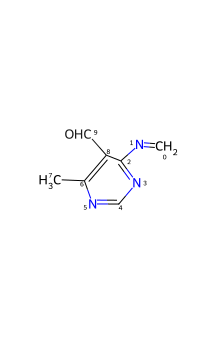 C=Nc1ncnc(C)c1C=O